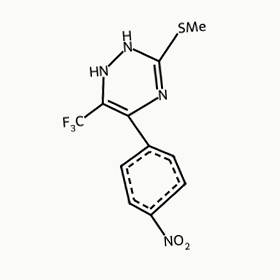 CSC1=NC(c2ccc([N+](=O)[O-])cc2)=C(C(F)(F)F)NN1